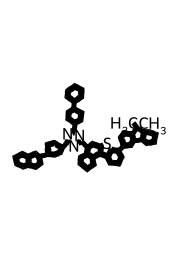 CC1(C)c2ccccc2-c2cc(-c3cccc4c3sc3cc(-c5nc(-c6ccc(-c7ccccc7)cc6)nc(-c6ccc(-c7ccc8ccccc8c7)cc6)n5)c5ccccc5c34)ccc21